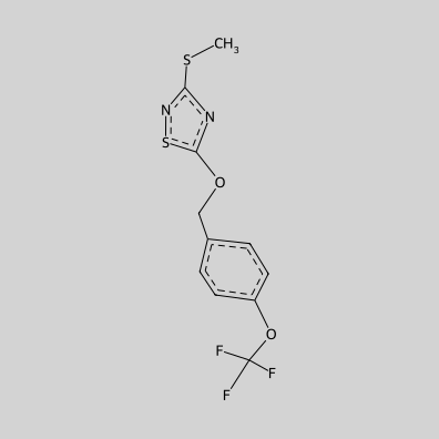 CSc1nsc(OCc2ccc(OC(F)(F)F)cc2)n1